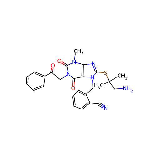 Cn1c(=O)n(CC(=O)c2ccccc2)c(=O)c2c1nc(SC(C)(C)CN)n2Cc1ccccc1C#N